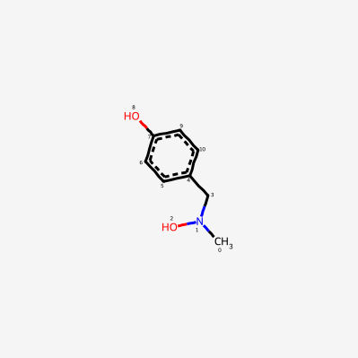 CN(O)Cc1ccc(O)cc1